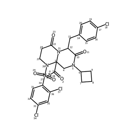 NC(=O)C12CN(C3CCC3)C(=O)C(Cc3ccc(Cl)cc3)N1C(=O)[C]CN2S(=O)(=O)c1ccc(Cl)cc1Cl